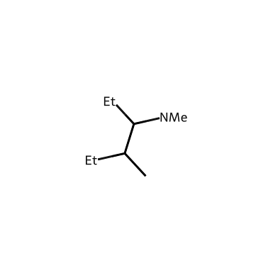 [CH2]NC(CC)C(C)CC